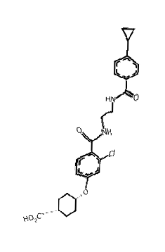 O=C(NCCNC(=O)c1ccc(O[C@H]2CC[C@@H](C(=O)O)CC2)cc1Cl)c1ccc(C2CC2)cc1